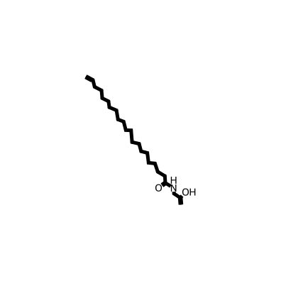 C=CCCCCCCCCCCCCCCCCCCC(=O)NCC(=C)O